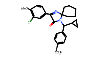 COc1ccc(C2=NC3(CCCCC3)N(C(c3ccc(C(=O)O)cc3)C3CC3)C2=O)cc1Cl